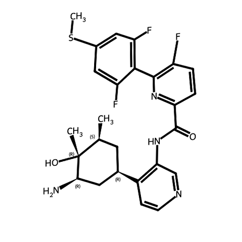 CSc1cc(F)c(-c2nc(C(=O)Nc3cnccc3[C@H]3C[C@@H](N)[C@](C)(O)[C@@H](C)C3)ccc2F)c(F)c1